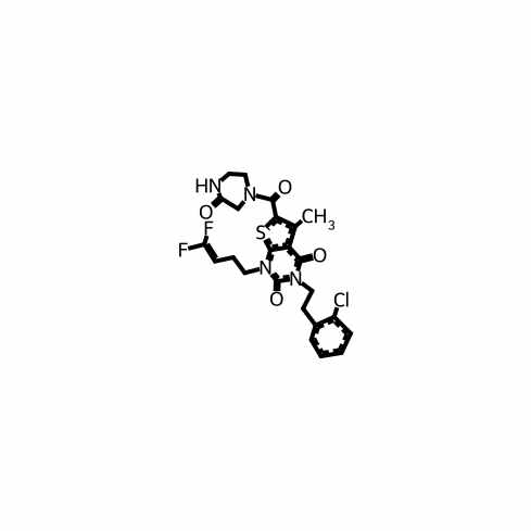 Cc1c(C(=O)N2CCNC(=O)C2)sc2c1c(=O)n(CCc1ccccc1Cl)c(=O)n2CCC=C(F)F